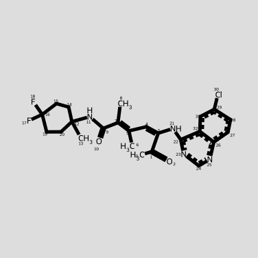 CC(=O)/C(=C\C(C)=C(/C)C(=O)NC1(C)CCC(F)(F)CC1)Nc1ncnc2ccc(Cl)cc12